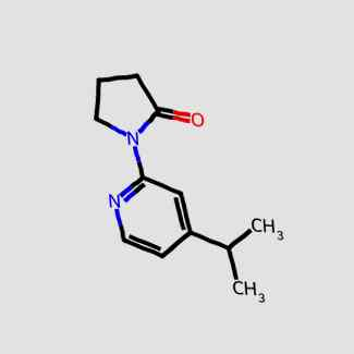 CC(C)c1ccnc(N2CCCC2=O)c1